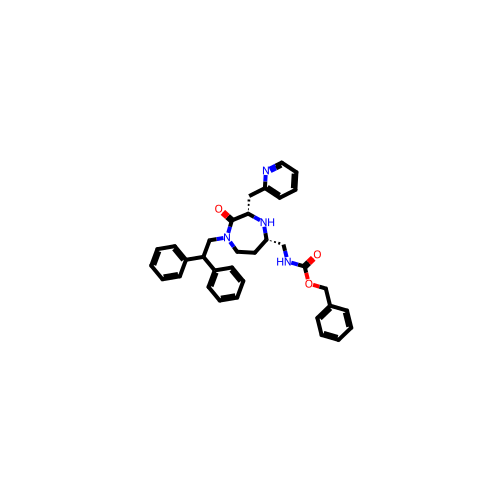 O=C(NC[C@@H]1CCN(CC(c2ccccc2)c2ccccc2)C(=O)[C@H](Cc2ccccn2)N1)OCc1ccccc1